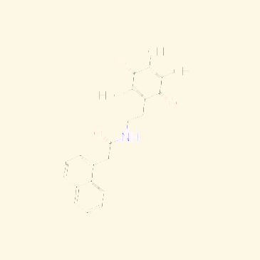 CC1=C(C)C(=O)C(CCNC(=O)Cc2cccc3ccccc23)=C(C)C1=O